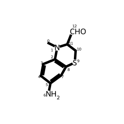 CN1c2ccc(N)cc2SCC1C=O